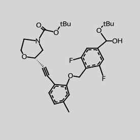 Cc1ccc(C#C[C@H]2CN(C(=O)OC(C)(C)C)CCO2)c(OCc2c(F)cc(C(O)OC(C)(C)C)cc2F)c1